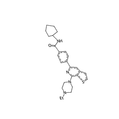 CCN1CCN(c2nc(-c3ccc(C(=O)NC4CCCCC4)cc3)cc3ccsc23)CC1